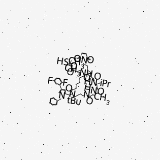 CC(C)[C@H](NC(=O)CCCCCN1C(=O)C=CC1=O)C(=O)N[C@@H](C)C(=O)NCCCN(C(=O)CCCCC(=O)NCCC(=O)OC(C)(C)S)[C@@H](c1cc(-c2cc(F)ccc2F)cn1Cc1ccccc1)C(C)(C)C